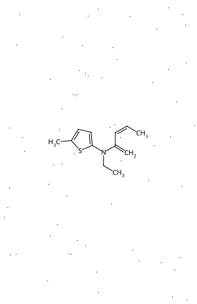 C=C(/C=C\C)N(CC)c1ccc(C)s1